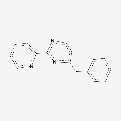 c1ccc(Cc2ccnc(-c3ccccn3)n2)cc1